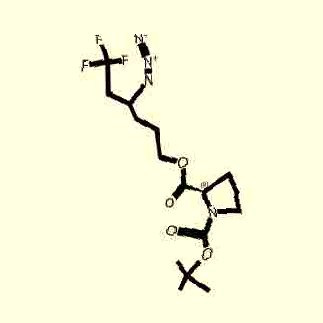 CC(C)(C)OC(=O)N1CCC[C@@H]1C(=O)OCCCC(CC(F)(F)F)N=[N+]=[N-]